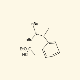 CCCCN(CCCC)C(C)c1ccccc1.CCOC(C)=O.Cl